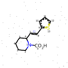 O=C(O)N1CCCCC1/C=C/c1cccs1